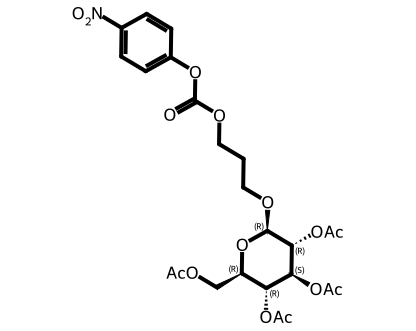 CC(=O)OC[C@H]1O[C@@H](OCCCOC(=O)Oc2ccc([N+](=O)[O-])cc2)[C@H](OC(C)=O)[C@@H](OC(C)=O)[C@@H]1OC(C)=O